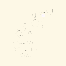 CCCCCCC(OC)c1cccc(-c2csc(NC(=O)c3cc(Cl)c(/C=C(\C)C(=O)O)c(Cl)c3)n2)c1OC